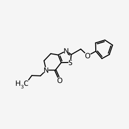 CCCN1CCc2nc(COc3ccccc3)sc2C1=O